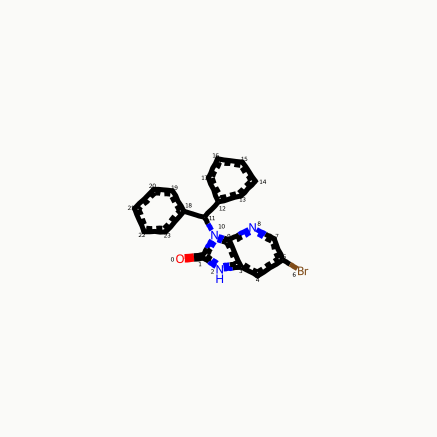 O=c1[nH]c2cc(Br)cnc2n1C(c1ccccc1)c1ccccc1